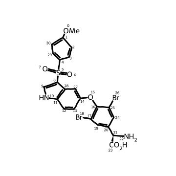 COc1ccc(S(=O)(=O)c2c[nH]c3ccc(Oc4c(Br)cc([C@@H](N)C(=O)O)cc4Br)cc23)cc1